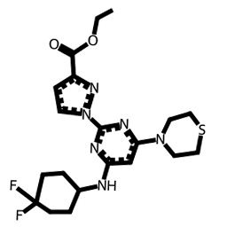 CCOC(=O)c1ccn(-c2nc(NC3CCC(F)(F)CC3)cc(N3CCSCC3)n2)n1